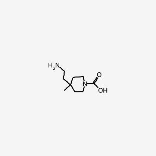 CC1(CCN)CCN(C(=O)O)CC1